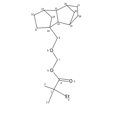 CCC(C)(C)C(=O)OCOCC12CCC(C1)C1C3CCC(C3)C12